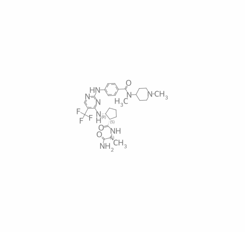 C[C@H](NC(=O)[C@H]1CCC[C@H]1Nc1nc(Nc2ccc(C(=O)N(C)C3CCN(C)CC3)cc2)ncc1C(F)(F)F)C(N)=O